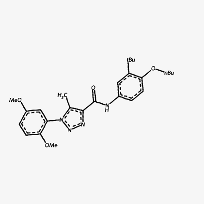 CCCCOc1ccc(NC(=O)c2nnn(-c3cc(OC)ccc3OC)c2C)cc1C(C)(C)C